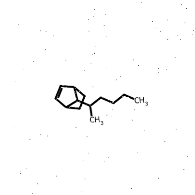 CCCCC(C)C1C2C=CC1CC2